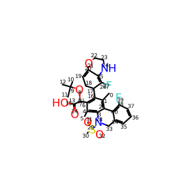 Cc1c2c(c(C)c([C@H](OC(C)(C)C)C(=O)O)c1C1CC=C3OCCNC3=C1F)N(S(C)(=O)=O)Cc1cccc(F)c1-2